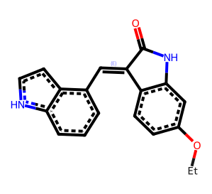 CCOc1ccc2c(c1)NC(=O)/C2=C/c1cccc2[nH]ccc12